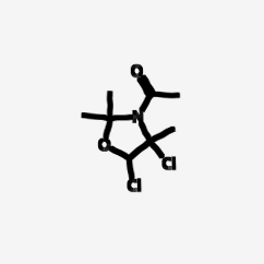 CC(=O)N1C(C)(C)OC(Cl)C1(C)Cl